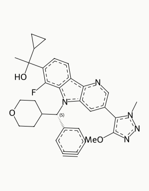 COc1nnn(C)c1-c1cnc2c3ccc(C(C)(O)C4CC4)c(F)c3n([C@H](c3cc#ccc3)C3CCOCC3)c2c1